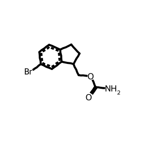 NC(=O)OCC1CCc2ccc(Br)cc21